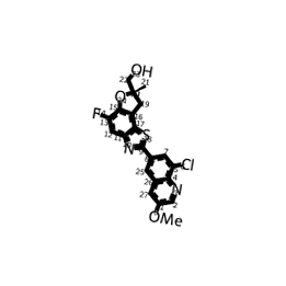 COc1cnc2c(Cl)cc(-c3nc4cc(F)c5c(c4s3)C[C@@](C)(CO)O5)cc2c1